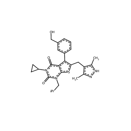 Cc1n[nH]c(C)c1Cc1sc2c(c1-c1cccc(CO)c1)c(=O)n(C1CC1)c(=O)n2CC(C)C